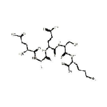 C[C@H](NC(=O)[C@@H](N)CCC(=O)O)C(=O)N[C@@H](CCC(=O)O)C(=O)N[C@@H](CO)C(=O)N[C@@H](CCCCN)C(=O)O